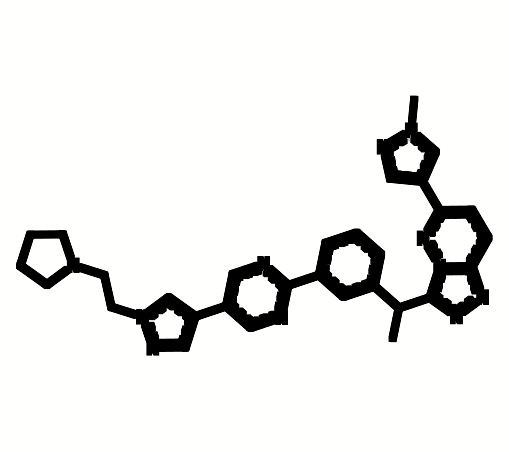 CC(c1cccc(-c2ncc(-c3cnn(CCN4CCCC4)c3)cn2)c1)c1nnc2ccc(-c3cnn(C)c3)nn12